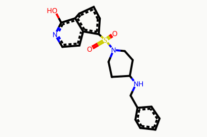 O=S(=O)(c1cccc2c(O)nccc12)N1CCC(NCc2ccccc2)CC1